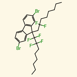 CCCCCCC(F)(F)CC1(C(F)(F)C(F)(F)CCCCCC)c2cc(Br)ccc2-c2ccc(Br)cc21